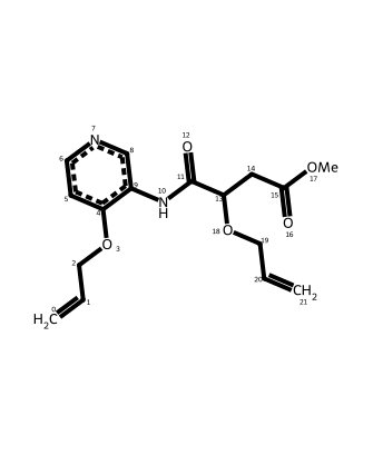 C=CCOc1ccncc1NC(=O)C(CC(=O)OC)OCC=C